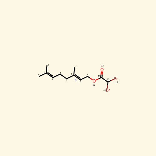 CC(C)=CCC/C(C)=C/COC(=O)C(Br)Br